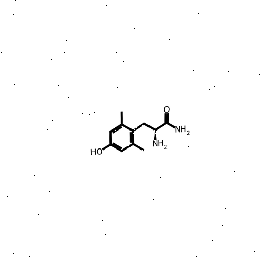 Cc1cc(O)cc(C)c1C[C@H](N)C(N)=O